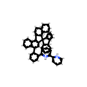 c1ccc(-c2cccc(-c3ccccc3-c3cc4c(c5ccccc35)-c3ccc5ccccc5c3C43c4ccccc4-c4ccccc43)n2)nc1